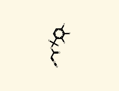 [N-]=[N+]=CC(=O)OC(F)(F)c1ccc(F)c(F)c1F